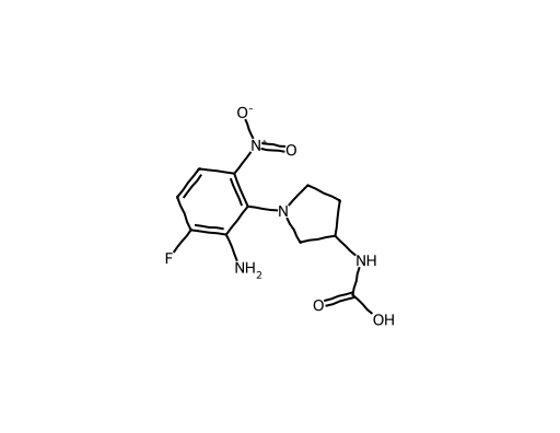 Nc1c(F)ccc([N+](=O)[O-])c1N1CCC(NC(=O)O)C1